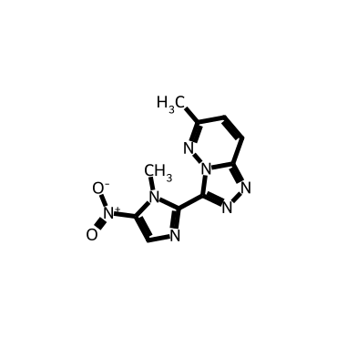 Cc1ccc2nnc(-c3ncc([N+](=O)[O-])n3C)n2n1